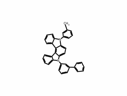 Cc1cccc(-n2c3ccccc3c3c4c5ccccc5n(-c5cccc(-c6ccccc6)c5)c4ccc32)c1